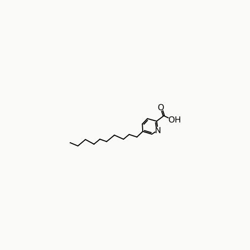 CCCCCCCCCCc1ccc(C(=O)O)nc1